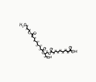 CCCCOC(=O)CCCCCCCC(=O)OC(CO)COC(=O)CCCCCCCC(=O)O